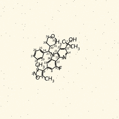 Cc1noc(C)c1-c1cc(F)c2c3ncc(C(C)(C)O)cc3n(C(c3ccccc3)C3CCOCC3)c2c1